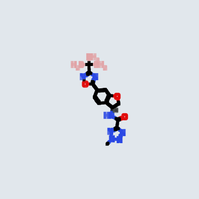 BC(B)(B)c1noc(-c2ccc3c(c2)OC[C@H]3NC(=O)c2nnn(C)n2)n1